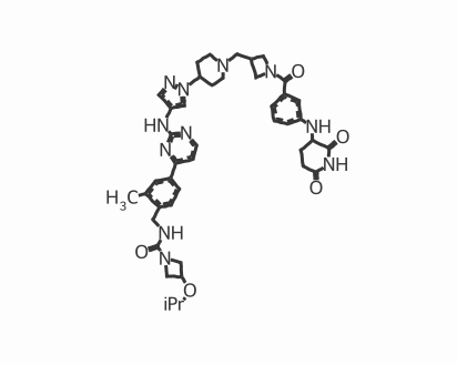 Cc1cc(-c2ccnc(Nc3cnn(C4CCN(CC5CN(C(=O)c6cccc(NC7CCC(=O)NC7=O)c6)C5)CC4)c3)n2)ccc1CNC(=O)N1CC(OC(C)C)C1